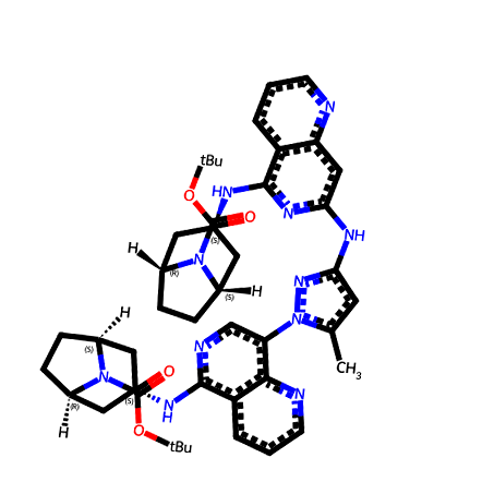 Cc1cc(Nc2cc3ncccc3c(N[C@@H]3C[C@H]4CC[C@@H](C3)N4C(=O)OC(C)(C)C)n2)nn1-c1cnc(N[C@@H]2C[C@H]3CC[C@@H](C2)N3C(=O)OC(C)(C)C)c2cccnc12